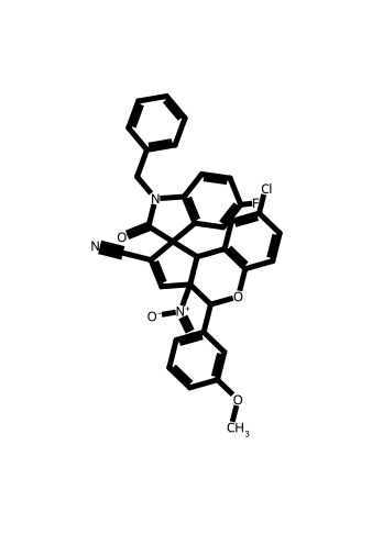 COc1cccc(C2Oc3ccc(Cl)cc3C3C4(C(=O)N(Cc5ccccc5)c5ccc(F)cc54)C(C#N)=CC23[N+](=O)[O-])c1